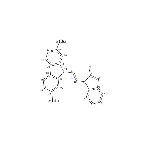 CC1=Cc2ccccc2C1/C=C/C1c2cc(C(C)(C)C)ccc2-c2ccc(C(C)(C)C)cc21